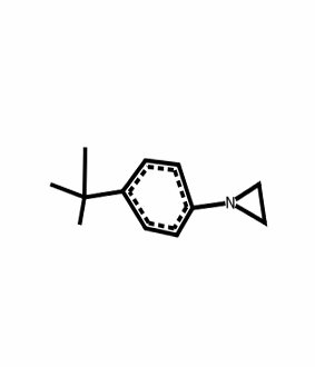 CC(C)(C)c1ccc(N2CC2)cc1